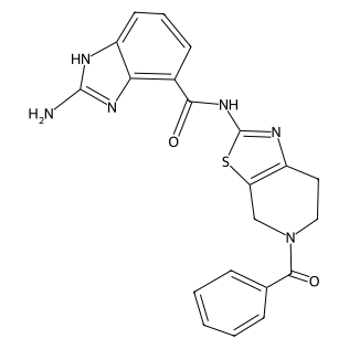 Nc1nc2c(C(=O)Nc3nc4c(s3)CN(C(=O)c3ccccc3)CC4)cccc2[nH]1